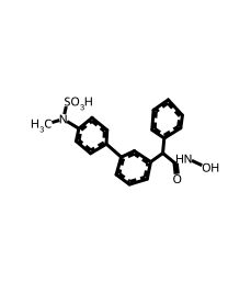 CN(c1ccc(-c2cccc(C(C(=O)NO)c3ccccc3)c2)cc1)S(=O)(=O)O